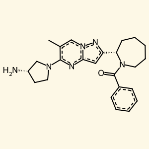 Cc1cn2nc([C@@H]3CCCCCN3C(=O)c3ccccc3)cc2nc1N1CC[C@H](N)C1